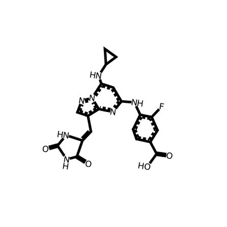 O=C1NC(=O)C(=Cc2cnn3c(NC4CC4)cc(Nc4ccc(C(=O)O)cc4F)nc23)N1